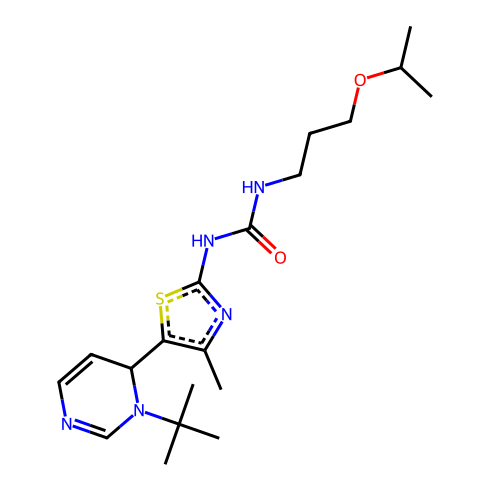 Cc1nc(NC(=O)NCCCOC(C)C)sc1C1C=CN=CN1C(C)(C)C